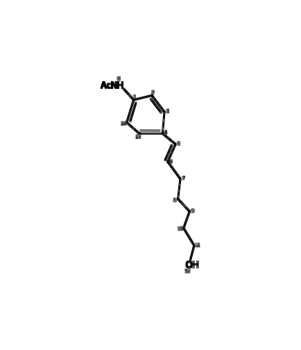 CC(=O)Nc1ccc(C=CCCCCCO)cc1